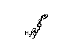 CCCCC(CC=Cc1ccc(OCCN2CCOCC2)cc1)C(N)=O